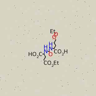 CCOOCCCC(NC(=O)NC(CCC(=O)OCC)C(=O)O)C(=O)O